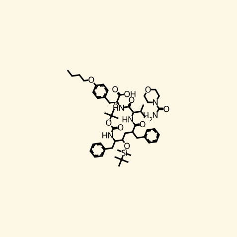 CCCCOc1ccc(C[C@H](NC(=O)C(NC(=O)C(Cc2ccccc2)CC(O[Si](C)(C)C(C)(C)C)C(Cc2ccccc2)NC(=O)OC(C)(C)C)C(C)C)C(=O)O)cc1.NC(=O)N1CCOCC1